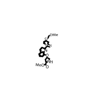 COCCOc1ccn2c(-c3ccc4cccc(O[C@@H]5CNC(C(=O)OC)C5)c4n3)cnc2c1